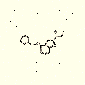 O=CC(Br)c1cc2c(OCc3ccccc3)nccc2o1